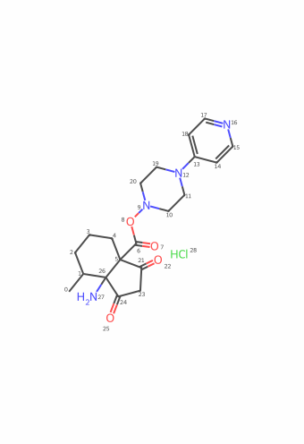 CC1CCCC2(C(=O)ON3CCN(c4ccncc4)CC3)C(=O)CC(=O)C12N.Cl